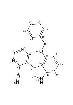 N#Cc1ncncc1-c1c[nH]c2ncnc(OCc3ccccc3)c12